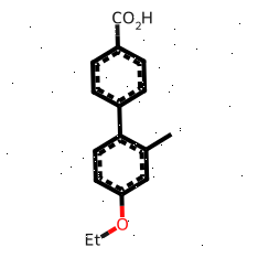 CCOc1ccc(-c2ccc(C(=O)O)cc2)c(C)c1